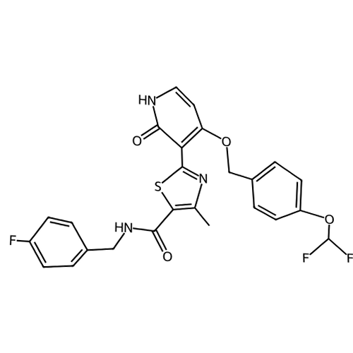 Cc1nc(-c2c(OCc3ccc(OC(F)F)cc3)cc[nH]c2=O)sc1C(=O)NCc1ccc(F)cc1